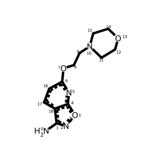 Nc1noc2nc(OCCN3CCOCC3)ccc12